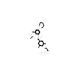 CCOc1c(Cl)cc(N2CCCCC2)cc1NC(=O)c1cc(C)c(OC[C@@H](C)N)c(C)c1